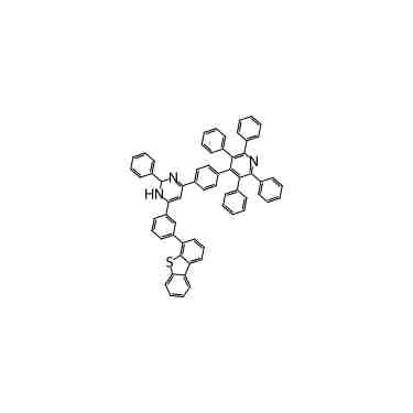 C1=C(c2cccc(-c3cccc4c3sc3ccccc34)c2)NC(c2ccccc2)N=C1c1ccc(-c2c(-c3ccccc3)c(-c3ccccc3)nc(-c3ccccc3)c2-c2ccccc2)cc1